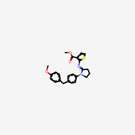 COC(=O)c1ccsc1/N=C1\CCCN1c1ccc(Cc2ccc(OC)cc2)cc1